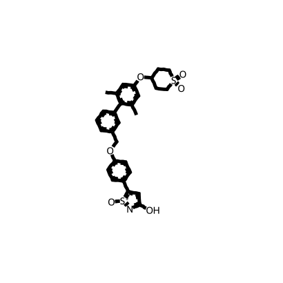 Cc1cc(OC2CCS(=O)(=O)CC2)cc(C)c1-c1cccc(COc2ccc(-c3cc(O)n[s+]3[O-])cc2)c1